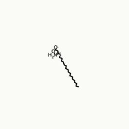 CCCCCCCCCCCCCCCCCCSC(N)=CC([O])=O